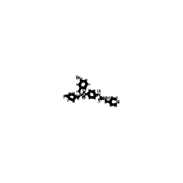 O=S(=O)(c1ccc(NC(=S)NCc2ccncc2)cc1)N(Cc1ccc(F)cc1)Cc1cccc(Br)c1